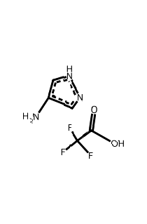 Nc1cn[nH]c1.O=C(O)C(F)(F)F